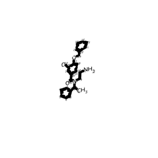 CC(c1ccccc1)N(CCN)C(=O)c1ccc(OCc2ccccc2)c(Cl)c1